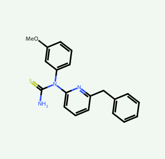 COc1cccc(N(C(N)=S)c2cccc(Cc3ccccc3)n2)c1